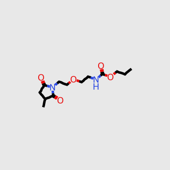 CCCOC(=O)NCCOCCN1C(=O)CC(C)C1=O